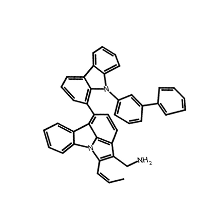 C/C=C\c1c(CN)c2ccc(-c3cccc4c5ccccc5n(-c5cccc(-c6ccccc6)c5)c34)c3c4ccccc4n1c23